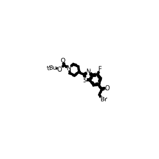 CC(C)(C)OC(=O)N1CCC(c2nc3c(F)cc(C(=O)CBr)cc3s2)CC1